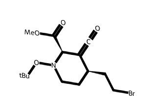 COC(=O)[C@H]1C(=C=O)[C@@H](CCBr)CCN1OC(C)(C)C